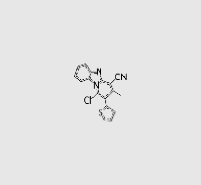 Cc1c(-c2cccs2)c(Cl)n2c(nc3ccccc32)c1C#N